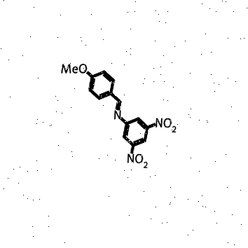 COc1ccc(/C=N/c2cc([N+](=O)[O-])cc([N+](=O)[O-])c2)cc1